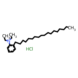 CCCCCCCCCCCCCCCCCCc1ccccc1N(CC)CC.Cl